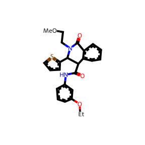 CCOc1cccc(NC(=O)C2c3ccccc3C(=O)N(CCOC)C2c2cccs2)c1